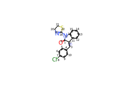 O=C1/C(=C\c2ccc(Cl)cc2)c2ccccc2N1C1=NCCS1